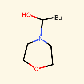 CCC(C)C(O)N1CCOCC1